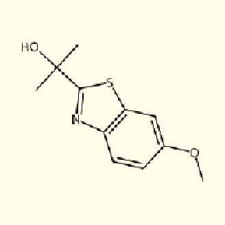 COc1ccc2nc(C(C)(C)O)sc2c1